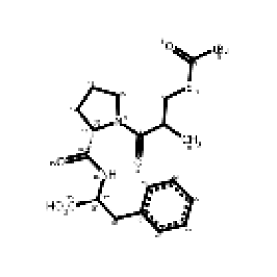 CC(CSC(=O)C(C)(C)C)C(=O)N1CCC[C@H]1C(=O)N[C@@H](Cc1ccccc1)C(=O)O